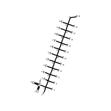 O=S(=O)(F)C(F)(F)C(F)(F)C(F)(F)C(F)(F)C(F)(F)C(F)(F)C(F)(F)C(F)(F)C(F)(F)C(F)(F)C(F)(F)CF